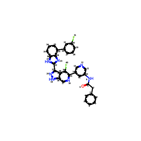 O=C(Cc1ccccc1)Nc1cncc(-c2ncc3[nH]nc(-c4nc5c(-c6cccc(F)c6)cccc5[nH]4)c3c2F)c1